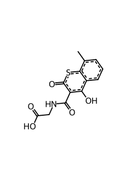 Cc1cccc2c(O)c(C(=O)NCC(=O)O)c(=O)sc12